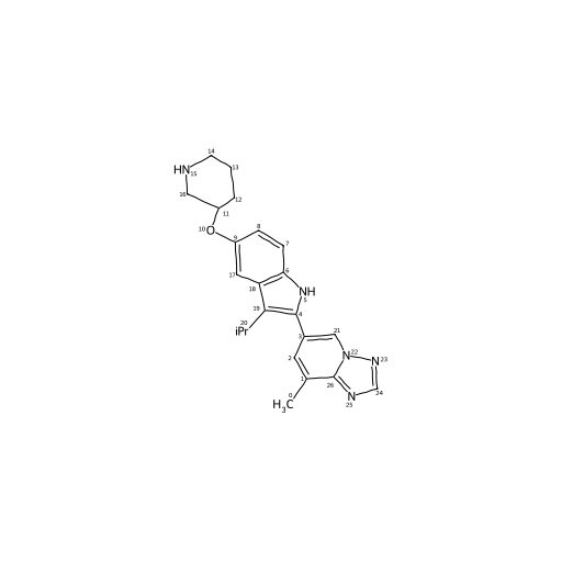 Cc1cc(-c2[nH]c3ccc(OC4CCCNC4)cc3c2C(C)C)cn2ncnc12